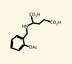 CC(=O)Oc1ccccc1CNC(CCC(=O)O)C(=O)O